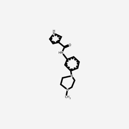 CN1CCN(c2cc[c]c(NC(=O)c3cc[nH]c3)c2)CC1